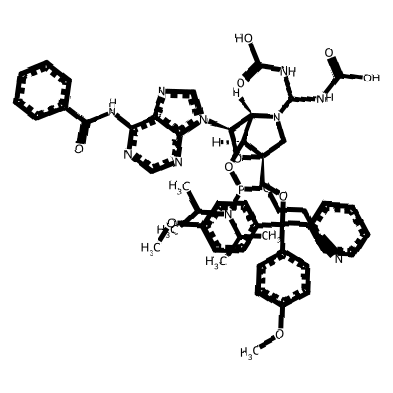 COc1ccc(C(OC[C@@]23CN(C(NC(=O)O)NC(=O)O)[C@@H]([C@H](n4cnc5c(NC(=O)c6ccccc6)ncnc54)O2)[C@@H]3OP(OCCC#N)N(C(C)C)C(C)C)(c2ccccc2)c2ccc(OC)cc2)cc1